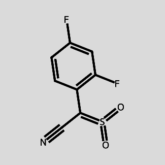 N#CC(c1ccc(F)cc1F)=S(=O)=O